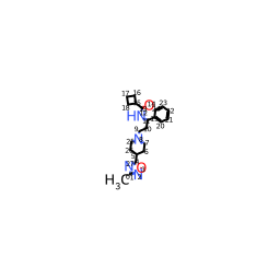 Cc1noc(C2CCN(CCC(NC(=O)C3CCC3)c3ccccc3)CC2)n1